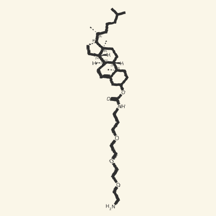 CC(C)CCC[C@@H](C)[C@H]1CC[C@H]2[C@@H]3CC=C4CC(OC(=O)NCCCOCCOCCOCCN)CC[C@]4(C)[C@H]3CC[C@]12C